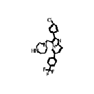 FC(F)(F)c1ccc(-c2ccc3nc(-c4ccc(Cl)cc4)c(CN4CCCNCC4)n3c2)cc1